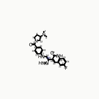 CN(C)C1CCN(C(=O)c2ccc(N/C=C(\N=N)c3cc4cc(F)ccc4[nH]c3=O)cc2)C1